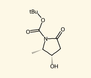 C[C@H]1[C@@H](O)CC(=O)N1C(=O)OC(C)(C)C